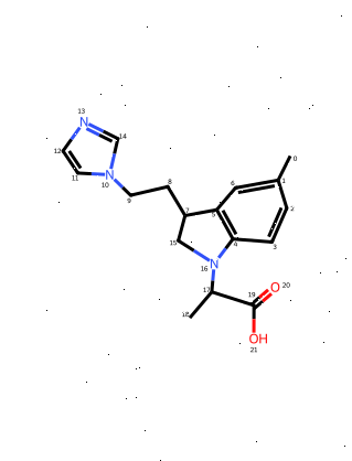 Cc1ccc2c(c1)C(CCn1ccnc1)CN2C(C)C(=O)O